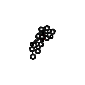 c1ccc(C2(c3ccccc3)c3ccccc3Oc3ccc(N(c4ccc5c(c4)C4(c6cc(C7CCCCC7)ccc6Oc6ccc(C7CCCCC7)cc64)c4ccccc4-5)c4cccc5c4sc4ccccc45)cc32)cc1